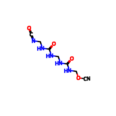 N#COCNC(=O)NCNC(=O)NCN=C=O